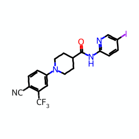 N#Cc1ccc(N2CCC(C(=O)Nc3ccc(I)cn3)CC2)cc1C(F)(F)F